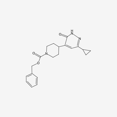 O=C(OCc1ccccc1)N1CCC(c2cc(C3CC3)n[nH]c2=O)CC1